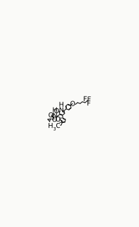 CCc1ccc(-c2cc(-c3ccc(OCCCCCC(F)(F)F)cc3)[nH]c(=O)c2C(=O)NS(=O)(=O)C2CC2)s1